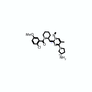 C=NN1C=C(C)C(N2CC[C@H](N)C2)=N/C1=C/C1CCCCN1C(=O)c1cc(OC)ccc1Cl